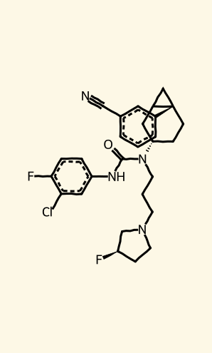 N#Cc1cccc([C@@]23CC[C@H](N(CCCN4CC[C@@H](F)C4)C(=O)Nc4ccc(F)c(Cl)c4)CC2C3)c1